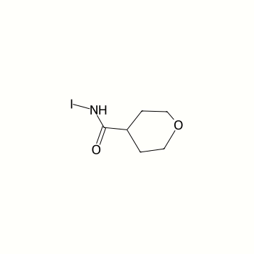 O=C(NI)C1CCOCC1